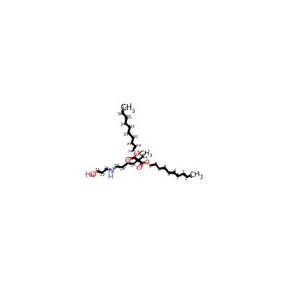 CCCCCCCCCCOC(=O)C(CC)(CCCCNCCCO)C(=O)OCCCCCCCCCC